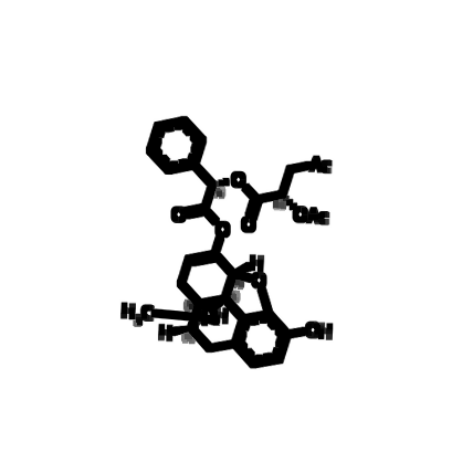 CC(=O)C[C@H](OC(C)=O)C(=O)O[C@H](C(=O)OC1=CC[C@@]2(O)[C@H]3Cc4ccc(O)c5c4[C@@]2(CCN3C)[C@H]1O5)c1ccccc1